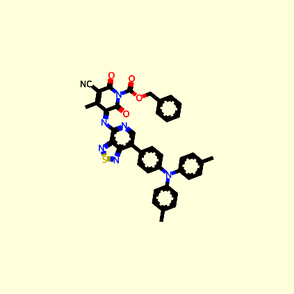 CC1=C(C#N)C(=O)N(C(=O)OCc2ccccc2)C(=O)/C1=N\c1ncc(-c2ccc(N(c3ccc(C)cc3)c3ccc(C)cc3)cc2)c2nsnc12